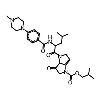 CC(C)COC(=O)N1CC(=O)C2C1=CCN2C(=O)C(CC(C)C)NC(=O)c1ccc(N2CCN(C)CC2)cc1